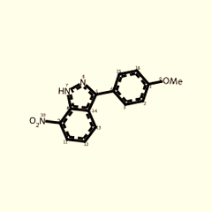 COc1ccc(-c2n[nH]c3c([N+](=O)[O-])cccc23)cc1